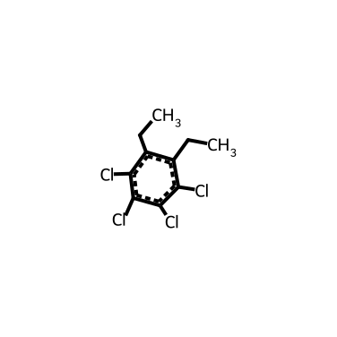 CCc1c(Cl)c(Cl)c(Cl)c(Cl)c1CC